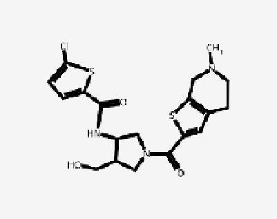 CN1CCc2cc(C(=O)N3CC(CO)C(NC(=O)c4ccc(Cl)s4)C3)sc2C1